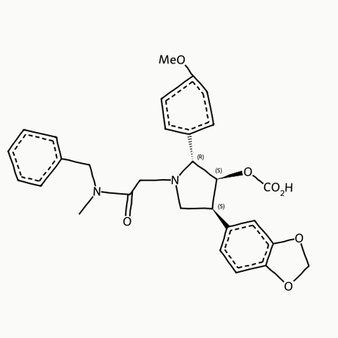 COc1ccc([C@@H]2[C@@H](OC(=O)O)[C@@H](c3ccc4c(c3)OCO4)CN2CC(=O)N(C)Cc2ccccc2)cc1